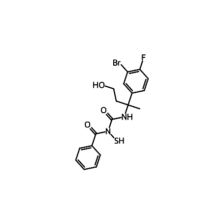 CC(CCO)(NC(=O)N(S)C(=O)c1ccccc1)c1ccc(F)c(Br)c1